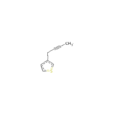 [CH2]C#CCc1ccsc1